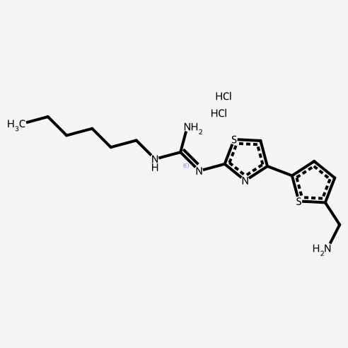 CCCCCCN/C(N)=N/c1nc(-c2ccc(CN)s2)cs1.Cl.Cl